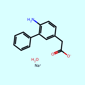 Nc1ccc(CC(=O)[O-])cc1-c1ccccc1.O.[Na+]